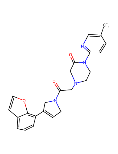 O=C(CN1CCN(c2ccc(C(F)(F)F)cn2)C(=O)C1)N1CC=C(c2cccc3ccoc23)C1